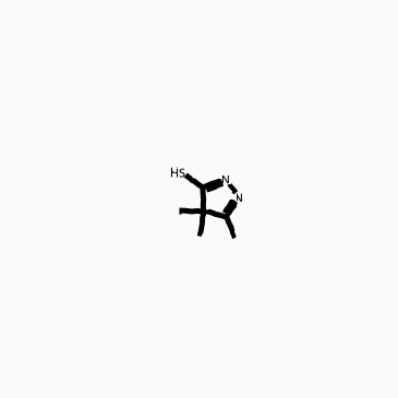 CC1=NN=C(S)C1(C)C